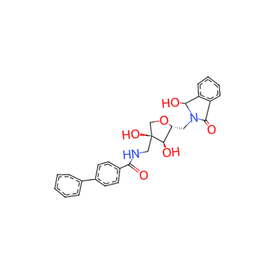 O=C(NC[C@]1(O)CO[C@H](CN2C(=O)c3ccccc3C2O)[C@H]1O)c1ccc(-c2ccccc2)cc1